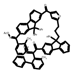 CCCC1(CCC)c2cc(C(=O)c3coc(CCCC4(CCC)c5ccccc5-c5ccc(C(=O)/C(=N\OC(C)=O)c6c(C)cccc6-c6ccccc6)cc54)c3)ccc2-c2ccc(/C(=N\OC(C)=O)c3ccccc3C)cc21